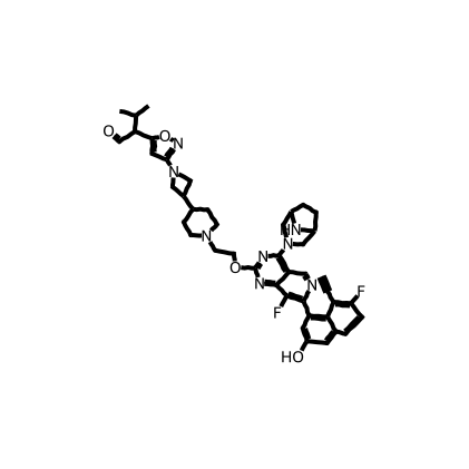 C#Cc1c(F)ccc2cc(O)cc(-c3ncc4c(N5CC6CCC(C5)N6)nc(OCCN5CCC(C6CN(c7cc(C(C=O)C(C)C)on7)C6)CC5)nc4c3F)c12